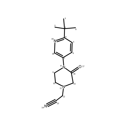 CC(C)(C)c1ccc(N2CCN(CC#N)CC2=O)cn1